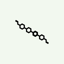 C=CCC1CCC(c2ccc(C3CCC(C4CCC(CC=C)CC4)CC3)cc2)CC1